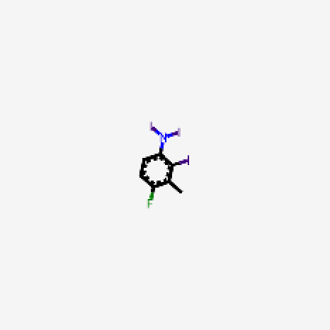 Cc1c(F)ccc(N(I)I)c1I